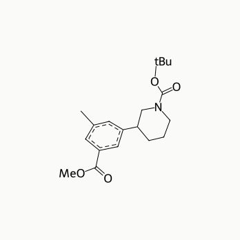 COC(=O)c1cc(C)cc(C2CCCN(C(=O)OC(C)(C)C)C2)c1